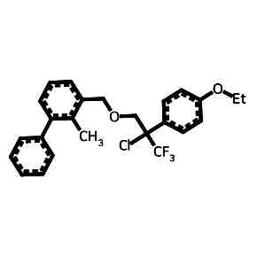 CCOc1ccc(C(Cl)(COCc2cccc(-c3ccccc3)c2C)C(F)(F)F)cc1